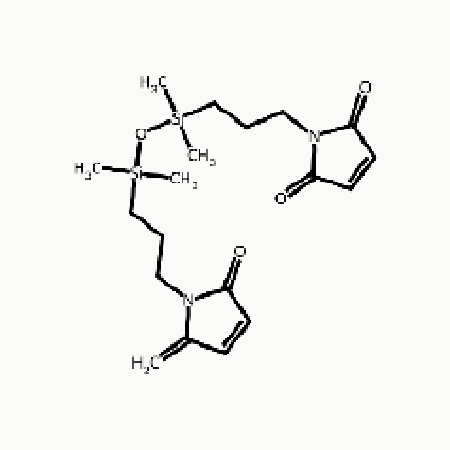 C=C1C=CC(=O)N1CCC[Si](C)(C)O[Si](C)(C)CCCN1C(=O)C=CC1=O